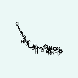 Nc1ncnc2c1c(-c1ccc(Oc3ccccc3)cc1)nn2[C@@H]1CCCN(C(=O)/C=C/CNC(=O)OC/C=C\COC(=O)NCCOCCOCCCCCCCl)C1